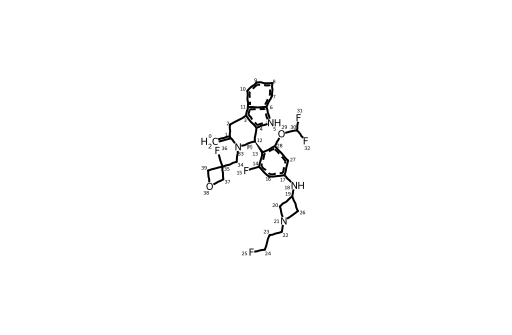 C=C1Cc2c([nH]c3ccccc23)[C@@H](c2c(F)cc(NC3CN(CCCF)C3)cc2OC(F)F)N1CC1(F)COC1